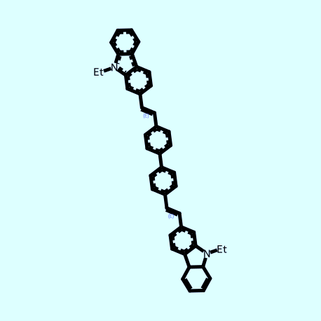 CCN1c2cc(/C=C/c3ccc(-c4ccc(/C=C/c5ccc6c7ccccc7n(CC)c6c5)cc4)cc3)ccc2C2C=CC=CC21